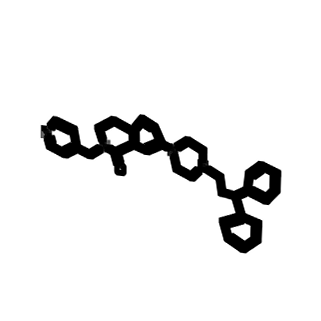 O=C1c2cc(N3CCN(CCC(c4ccccc4)c4ccccc4)CC3)ccc2CCN1Cc1ccncc1